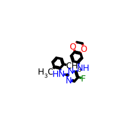 Cc1cccc(C)c1Nc1ncc(F)c(Nc2ccc3c(c2)OCCO3)n1